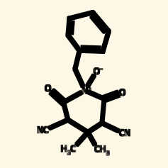 CC1(C)C(C#N)C(=O)[N+]([O-])(Cc2ccccc2)C(=O)C1C#N